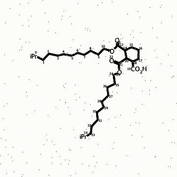 CC(C)CCCCCCCCCCOC(=O)C1CCCC(C(=O)O)C1C(=O)OCCCCCCCCCCC(C)C